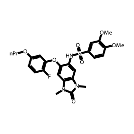 CCCOc1ccc(F)c(Oc2cc3c(cc2NS(=O)(=O)c2ccc(OC)c(OC)c2)n(C)c(=O)n3C)c1